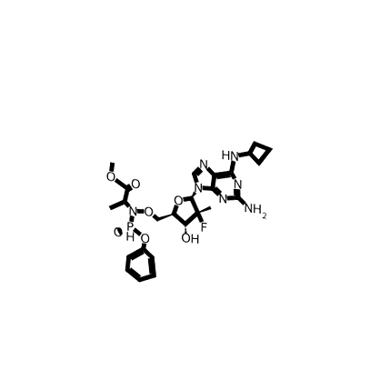 COC(=O)C(C)N(OC[C@H]1O[C@@H](n2cnc3c(NC4CCC4)nc(N)nc32)[C@](C)(F)[C@@H]1O)[PH](=O)Oc1ccccc1